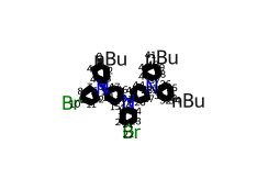 CCCCc1ccc(N(c2ccc(Br)cc2)c2ccc(N(c3ccc(Br)cc3)c3ccc(N(c4ccc(CCCC)cc4)c4ccc(CCCC)cc4)cc3)cc2)cc1